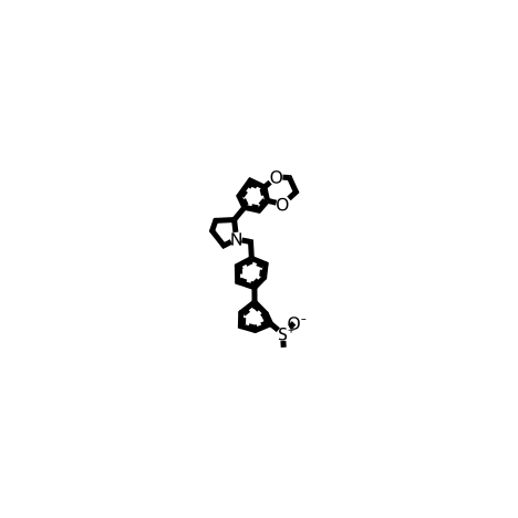 C[S+]([O-])c1cccc(-c2ccc(CN3CCCC3c3ccc4c(c3)OCCO4)cc2)c1